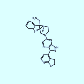 NC[C@]1(c2ccccc2F)[C@@H]2CCN(c3cnc4c(-c5ccnc6occc56)n[nH]c4n3)C[C@@H]21